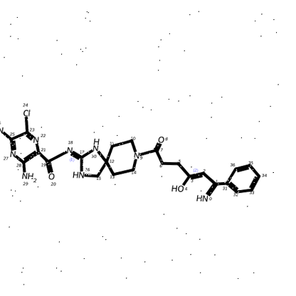 N=C(/C=C(\O)CCC(=O)N1CCC2(CC1)CN/C(=N\C(=O)c1nc(Cl)c(N)nc1N)N2)c1ccccc1